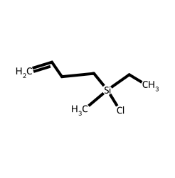 C=CCC[Si](C)(Cl)CC